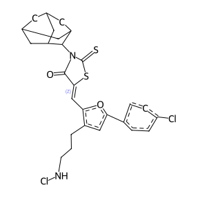 O=C1/C(=C/c2oc(-c3ccc(Cl)cc3)cc2CCCNCl)SC(=S)N1C1C2CC3CC(C2)CC1C3